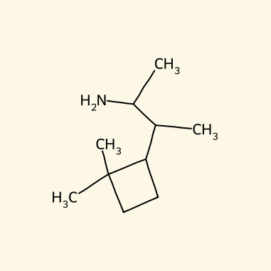 CC(N)C(C)C1CCC1(C)C